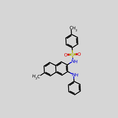 Cc1ccc(S(=O)(=O)Nc2cc3ccc(C)cc3cc2Nc2ccccc2)cc1